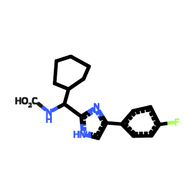 O=C(O)NC(c1nc(-c2ccc(F)cc2)c[nH]1)C1CCCCC1